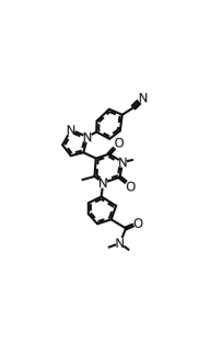 Cc1c(-c2ccnn2-c2ccc(C#N)cc2)c(=O)n(C)c(=O)n1-c1cccc(C(=O)N(C)C)c1